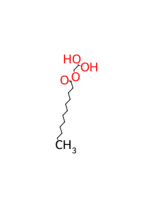 CCCCCCCCCCCC(=O)OCC(O)O